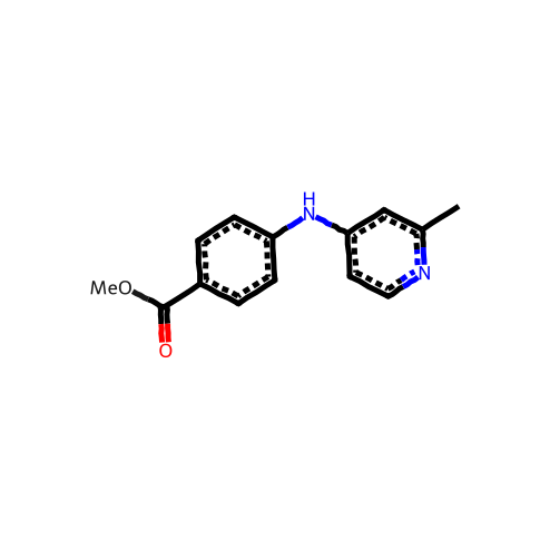 COC(=O)c1ccc(Nc2ccnc(C)c2)cc1